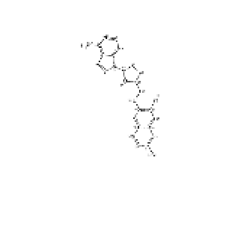 Nc1ncnc2c1ccn2C1CCC(COc2cc3ncc(Br)cc3cc2Cl)O1